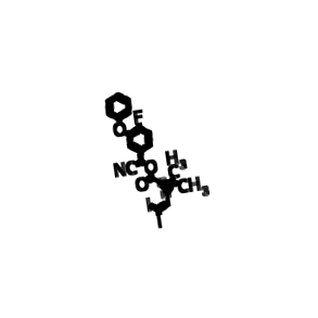 CC1(C)[C@H](C(=O)OC(C#N)c2ccc(F)c(Oc3ccccc3)c2)[C@@H]1C=C(I)I